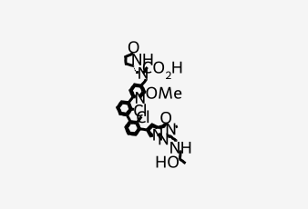 COc1nc(-c2cccc(-c3cccc(-c4cc5c(=O)n(C)c(CNCC(C)O)nn5c4)c3Cl)c2Cl)ccc1CN(C[C@@H]1CCC(=O)N1)C(=O)O